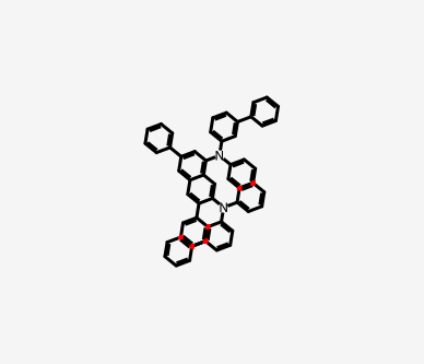 c1ccc(-c2cccc(N(c3ccccc3)c3cc4c(N(c5ccccc5)c5cccc(-c6ccccc6)c5)cc(-c5ccccc5)cc4cc3-c3ccccc3)c2)cc1